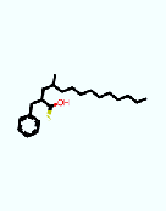 CCCCCCCCCCC(C)CC(Cc1ccccc1)C(O)=S